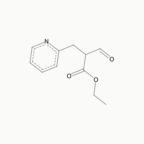 CCOC(=O)C(C=O)Cc1ccccn1